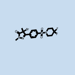 CN1N=C(c2ccc(S(=O)(=O)N3CCC(F)(F)CC3)cc2)C(C)(Br)C1=O